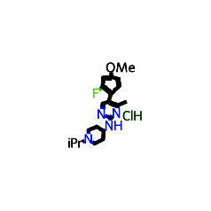 COc1ccc(-c2cnc(NC3CCN(C(C)C)CC3)nc2C)c(F)c1.Cl